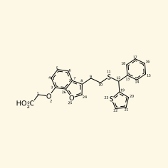 O=C(O)COc1cccc2c(CCSC(c3ccccc3)c3cccs3)coc12